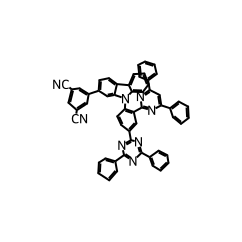 N#Cc1cc(C#N)cc(-c2ccc3c4ccccc4n(-c4ccc(-c5nc(-c6ccccc6)nc(-c6ccccc6)n5)cc4-c4nc(-c5ccccc5)cc(-c5ccccc5)n4)c3c2)c1